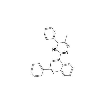 CC(=O)C(NC(=O)c1cc(-c2ccccc2)nc2ccccc12)c1ccccc1